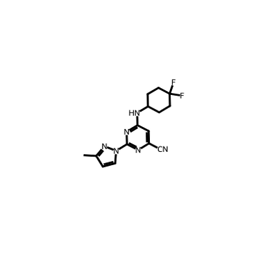 Cc1ccn(-c2nc(C#N)cc(NC3CCC(F)(F)CC3)n2)n1